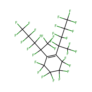 FC(F)(F)C(F)(F)C(F)(F)C(F)(C1=C(C(F)(C(F)(F)F)C(F)(F)C(F)(F)C(F)(F)F)C(F)(F)C(F)(F)C(F)(F)C1(F)F)C(F)(F)F